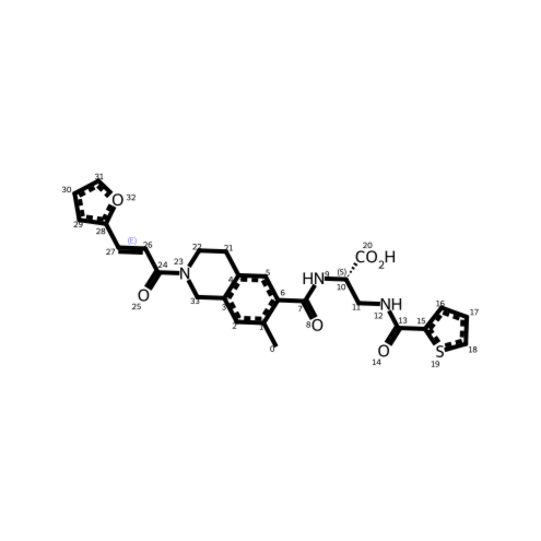 Cc1cc2c(cc1C(=O)N[C@@H](CNC(=O)c1cccs1)C(=O)O)CCN(C(=O)/C=C/c1ccco1)C2